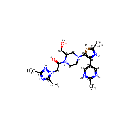 Cc1nc(C)n(CC(=O)N2CCN(c3sc(C(F)(F)F)nc3-c3cnc(C(F)(F)F)nc3)CC2CO)n1